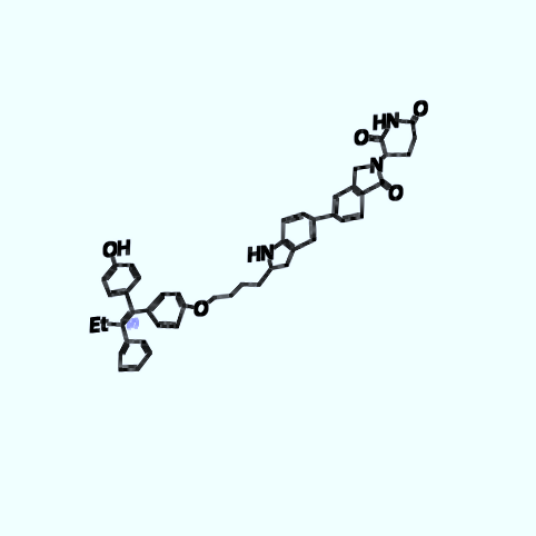 CC/C(=C(\c1ccc(O)cc1)c1ccc(OCCCCC2Cc3cc(-c4ccc5c(c4)CN(C4CCC(=O)NC4=O)C5=O)ccc3N2)cc1)c1ccccc1